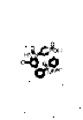 O=C(O)N1CCC(n2c(=O)[nH]c3c(Cl)cccc32)CC1.[N-]=[N+]=NP(=O)(c1ccccc1)c1ccccc1